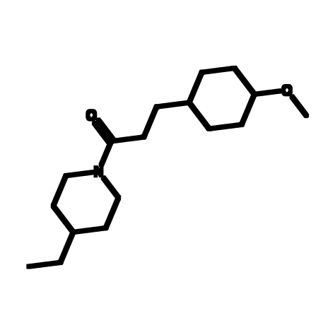 CCC1CCN(C(=O)CCC2CCC(OC)CC2)CC1